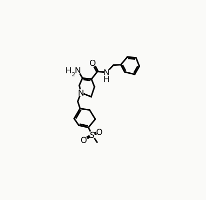 CS(=O)(=O)C1=CC=C(CN2CCC(C(=O)NCc3ccccc3)=C(N)C2)CC1